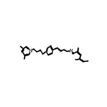 C\C=C(C)/C=C(C)\C=N\CCCCc1ccc(CCCC[n+]2cc(C)cc(C)c2)cc1